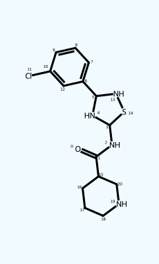 O=C(NC1NC(c2cccc(Cl)c2)NS1)C1CCCNC1